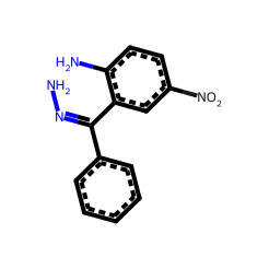 NN=C(c1ccccc1)c1cc([N+](=O)[O-])ccc1N